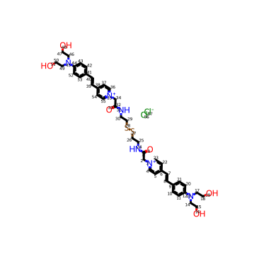 O=C(C[n+]1ccc(C=Cc2ccc(N(CCO)CCO)cc2)cc1)NCCSSCCNC(=O)C[n+]1ccc(C=Cc2ccc(N(CCO)CCO)cc2)cc1.[Cl-].[Cl-]